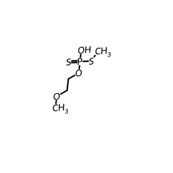 COCCOP(O)(=S)SC